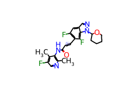 Cc1ncc(F)c(C)c1NC(=O)/C=C/c1c(F)cc2cnn(C3CCCCO3)c2c1F